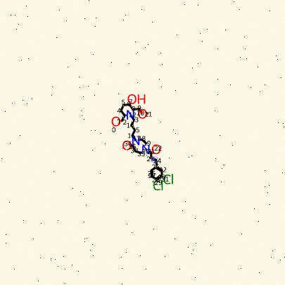 COCC1CCC(O)C(COC)N1CCCCN1CCN(C(=O)/C=C/c2ccc(Cl)c(Cl)c2)CCC1=O